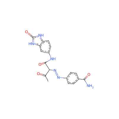 CC(=O)C(N=Nc1ccc(C(N)=O)cc1)C(=O)Nc1ccc2[nH]c(=O)[nH]c2c1